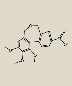 COc1cc2c(c(OC)c1OC)-c1ccc([N+](=O)[O-])cc1COC2